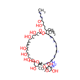 C/C=C/C=C/C(=O)CC(O)CCC(C)C1OC(=O)CC(O)CC(O)CCCC(O)CC(O)CC(O)CC2(O)CC(O)C(C(=O)O)[C@H](CC(OC3OCC(O)[C@H](N)[C@@H]3O)/C=C/C=C/C=C/C=C\C=C/C=C/C=C/C1C)O2